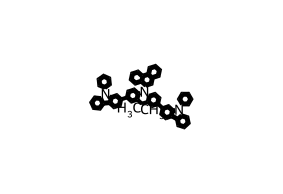 CC1(C)c2cc(-c3ccc4c5ccccc5n(-c5ccccc5)c4c3)ccc2N(c2cc3ccccc3c3ccccc23)c2ccc(-c3ccc4c5ccccc5n(-c5ccccc5)c4c3)cc21